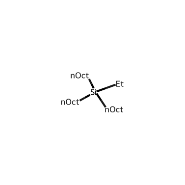 CCCCCCCC[Si](CC)(CCCCCCCC)CCCCCCCC